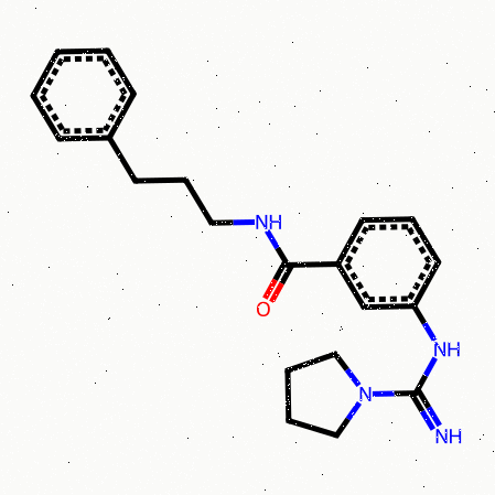 N=C(Nc1cccc(C(=O)NCCCc2ccccc2)c1)N1CCCC1